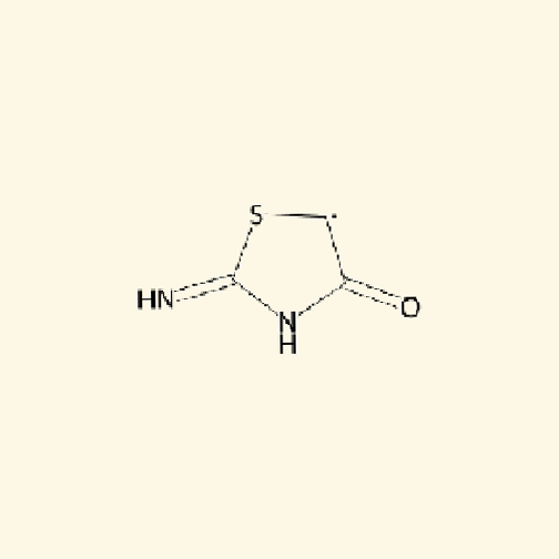 N=C1NC(=O)[CH]S1